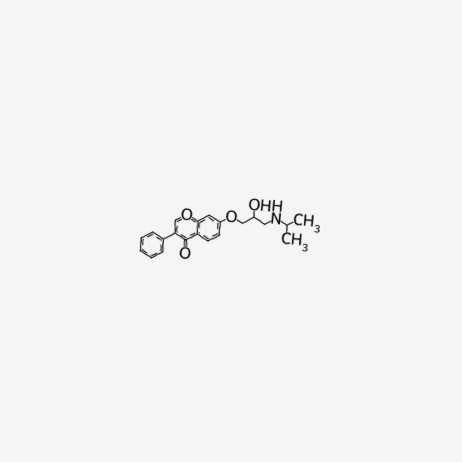 CC(C)NCC(O)COc1ccc2c(=O)c(-c3ccccc3)coc2c1